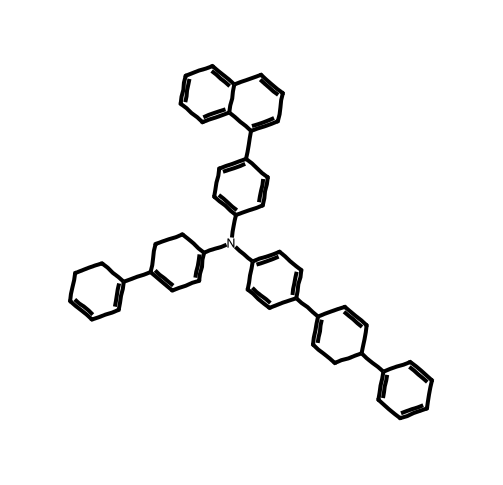 C1=CCCC(C2=CC=C(N(c3ccc(C4=CCC(c5ccccc5)C=C4)cc3)c3ccc(-c4cccc5ccccc45)cc3)CC2)=C1